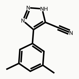 Cc1cc(C)cc(-c2nn[nH]c2C#N)c1